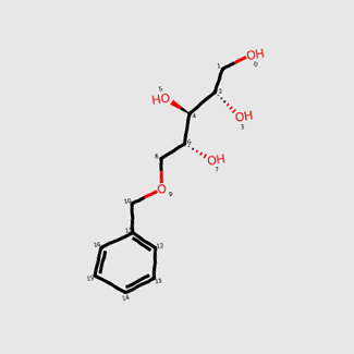 OC[C@H](O)[C@H](O)[C@H](O)COCc1ccccc1